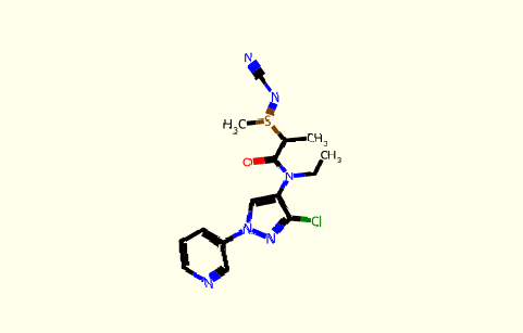 CCN(C(=O)C(C)/S(C)=N/C#N)c1cn(-c2cccnc2)nc1Cl